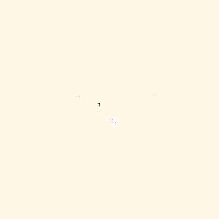 CC(O)CC1CC=CCN1[C@H](CO)c1ccccc1